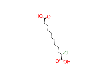 O=C(O)CCCCCCCCCC(Cl)C(=O)O